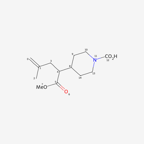 C=C(C)CC(C(=O)OC)C1CCN(C(=O)O)CC1